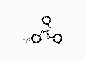 O.c1ccc(OP(Oc2ccccc2)Oc2ccccc2)cc1